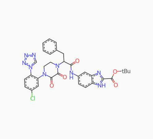 CC(C)(C)OC(=O)c1nc2cc(NC(=O)C(Cc3ccccc3)N3CCN(c4cc(Cl)ccc4-n4cnnn4)C(=O)C3=O)ccc2[nH]1